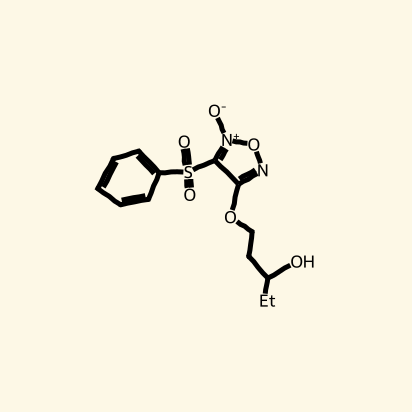 CCC(O)CCOc1no[n+]([O-])c1S(=O)(=O)c1ccccc1